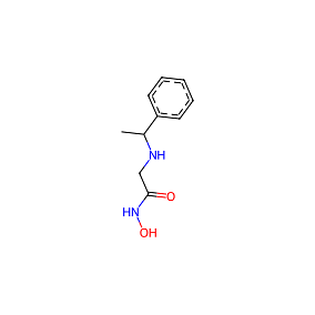 CC(NCC(=O)NO)c1ccccc1